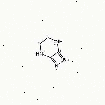 C1CNC2=NN=C2N1